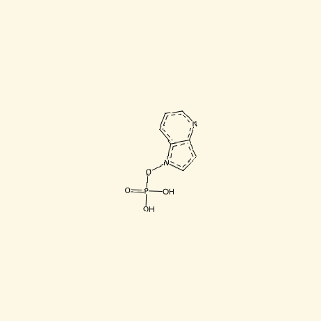 O=P(O)(O)On1ccc2ncccc21